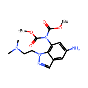 CN(C)CCn1ncc2cc(N)cc(N(C(=O)OC(C)(C)C)C(=O)OC(C)(C)C)c21